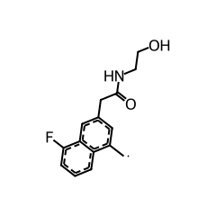 [CH2]c1cc(CC(=O)NCCO)cc2c(F)cccc12